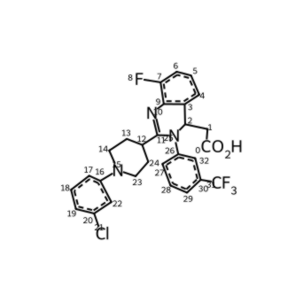 O=C(O)CC1c2cccc(F)c2N=C(C2CCN(c3cccc(Cl)c3)CC2)N1c1cccc(C(F)(F)F)c1